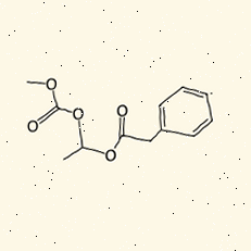 COC(=O)OC(C)OC(=O)Cc1cc[c]cc1